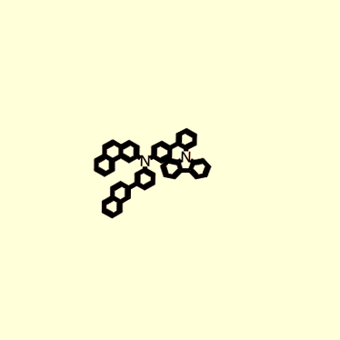 c1cc(-c2ccc3ccccc3c2)cc(N(c2ccc(-c3ccccc3-n3c4ccccc4c4ccccc43)cc2)c2ccc3ccc4ccccc4c3c2)c1